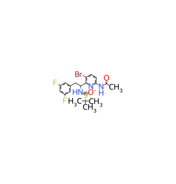 CC(=O)Nc1ccc(Br)c(C(Cc2cc(F)cc(F)c2)N[S@@+]([O-])C(C)(C)C)n1